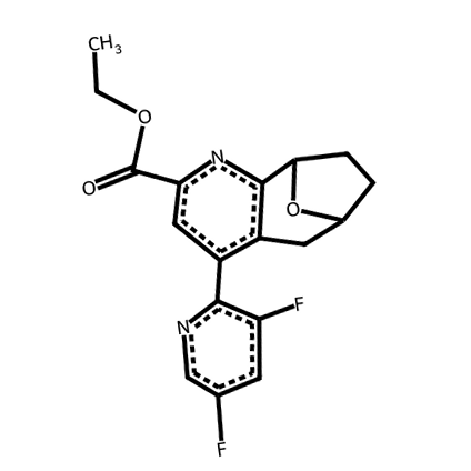 CCOC(=O)c1cc(-c2ncc(F)cc2F)c2c(n1)C1CCC(C2)O1